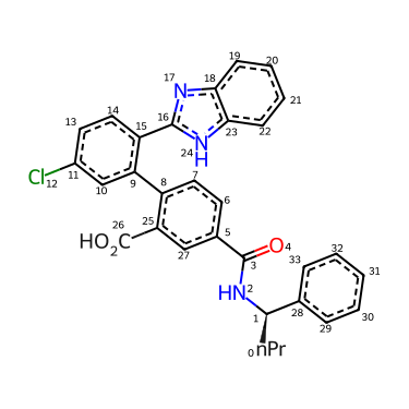 CCC[C@@H](NC(=O)c1ccc(-c2cc(Cl)ccc2-c2nc3ccccc3[nH]2)c(C(=O)O)c1)c1ccccc1